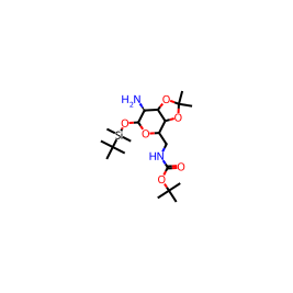 CC(C)(C)OC(=O)NCC1OC(O[Si](C)(C)C(C)(C)C)[C@@H](N)C2OC(C)(C)OC12